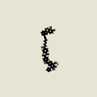 CC[C@@H]1C(=O)N(C)c2cnc(Nc3ccc(C(=O)N[C@H]4CC[C@@H](NCCOCCC#Cc5cccc6c5CN(C5CCC(=O)NC5=O)C6=O)CC4)cc3)nc2N1C1CCCC1